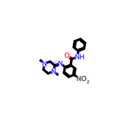 CN1CCN(C)/C(=N\c2ccc([N+](=O)[O-])cc2C(=O)Nc2ccccc2)C1